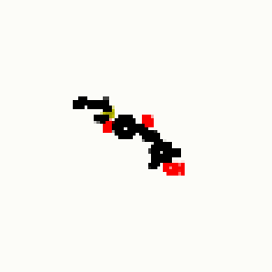 CCCCCSC(C)Oc1ccc(C(=O)/C=C/c2cc(C)c(O)c(C)c2)cc1